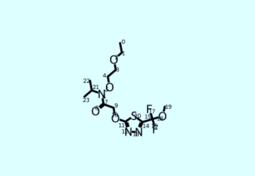 CCOCCON(C(=O)COc1nnc(C(F)(F)OC)s1)C(C)C